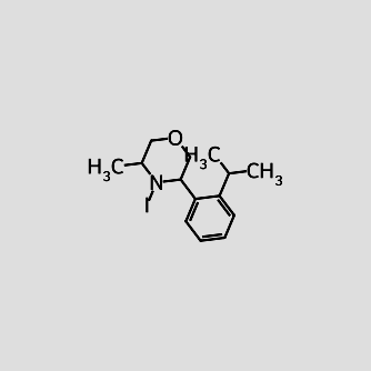 CC(C)c1ccccc1C1COCC(C)N1I